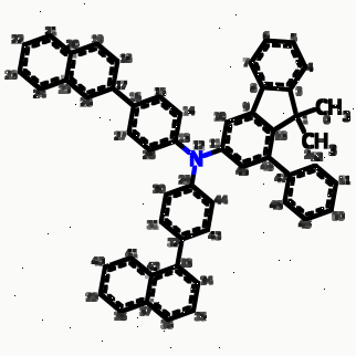 CC1(C)c2ccccc2-c2cc(N(c3ccc(-c4ccc5ccccc5c4)cc3)c3ccc(-c4cccc5ccccc45)cc3)cc(-c3ccccc3)c21